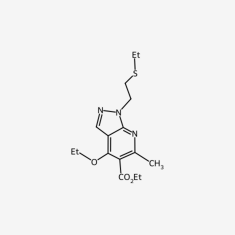 CCOC(=O)c1c(C)nc2c(cnn2CCSCC)c1OCC